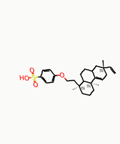 C=C[C@]1(C)CC=C2C(CCC3[C@](C)(CCOc4ccc(S(=O)(=O)O)cc4)CCC[C@]23C)C1